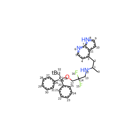 CC(Cc1ccnc2[nH]ccc12)NCC(F)(F)CO[Si](c1ccccc1)(c1ccccc1)C(C)(C)C